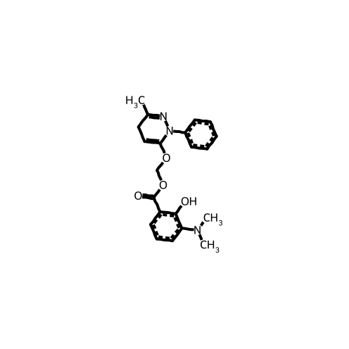 CC1=NN(c2ccccc2)C(OCOC(=O)c2cccc(N(C)C)c2O)=CC1